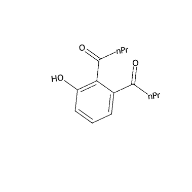 CCCC(=O)c1cccc(O)c1C(=O)CCC